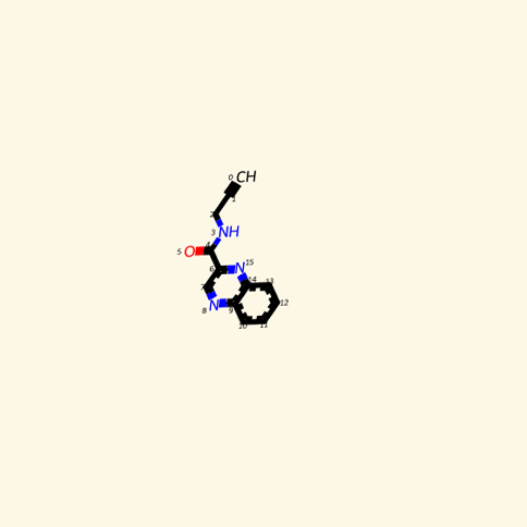 C#CCNC(=O)c1cnc2ccccc2n1